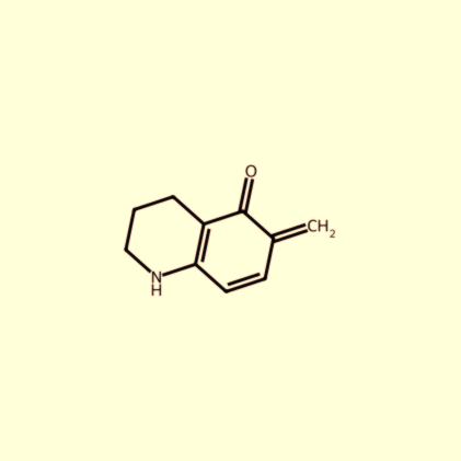 C=C1C=CC2=C(CCCN2)C1=O